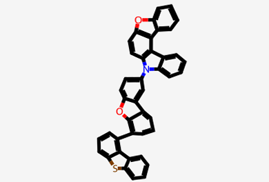 c1ccc2c(c1)oc1ccc3c(c4ccccc4n3-c3ccc4oc5c(-c6cccc7sc8ccccc8c67)cccc5c4c3)c12